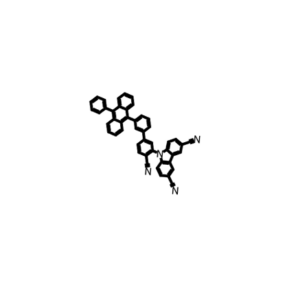 N#Cc1ccc2c(c1)c1cc(C#N)ccc1n2-c1cc(-c2cccc(-c3c4ccccc4c(-c4ccccc4)c4ccccc34)c2)ccc1C#N